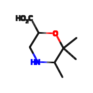 CC1NCC(C(=O)O)OC1(C)C